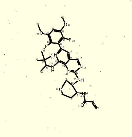 C=CC(=O)N[C@H]1CCOC[C@H]1Nc1ncc2cc(-c3c(F)c(OC)cc(OC)c3F)nc(NC(C)C(C)(C)C)c2n1